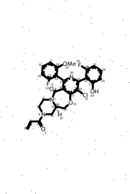 C=CC(=O)N1CCN2C(=O)c3c(-c4c(F)cccc4OC)nc(-c4c(O)cccc4F)c(Cl)c3OC[C@H]2C1